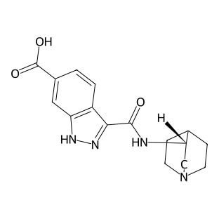 O=C(O)c1ccc2c(C(=O)N[C@H]3CN4CCC3CC4)n[nH]c2c1